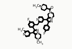 Cc1cc(-c2c(-c3ccc(F)cc3Cc3cc(-c4c(-c5ccc(F)cc5)nn5c4CN(C(=O)C4CCN(C)CC4)CC5)ccn3)nn3c2CN(C)CC3)ccn1